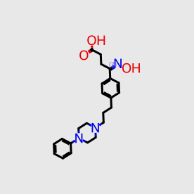 O=C(O)CC/C(=N/O)c1ccc(CCCN2CCN(c3ccccc3)CC2)cc1